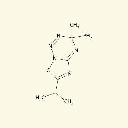 CC(C)C1=NC2=NC(C)(P)N=NN2O1